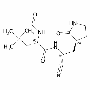 CC(C)(C)C[C@H](NC=O)C(=O)N[C@@H](C#N)C[C@@H]1CCNC1=O